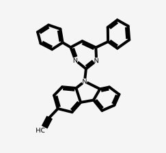 C#Cc1ccc2c(c1)c1ccccc1n2-c1nc(-c2ccccc2)cc(-c2ccccc2)n1